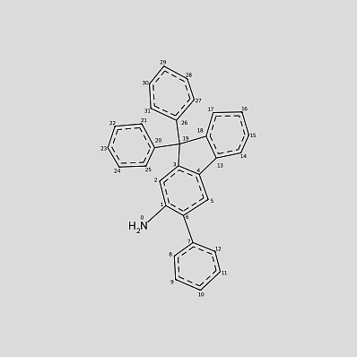 Nc1cc2c(cc1-c1ccccc1)-c1ccccc1C2(c1ccccc1)c1ccccc1